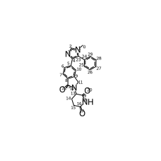 Cn1cnc(-c2ccc3c(c2)CN(C2CCC(=O)NC2=O)C3=O)c1-c1ccccc1